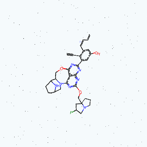 C#Cc1c(/C=C\C=C)cc(O)cc1-c1nc2c3c(nc(OCC45CCCN4CC(F)C5)nc3n1)N1CC3CCC(N3)C1CO2